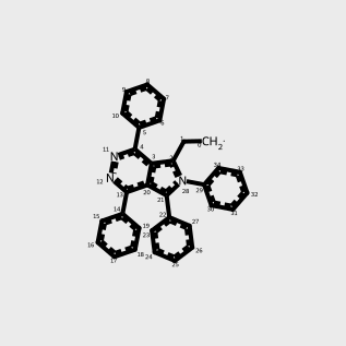 [CH2]Cc1c2c(-c3ccccc3)nnc(-c3ccccc3)c2c(-c2ccccc2)n1-c1ccccc1